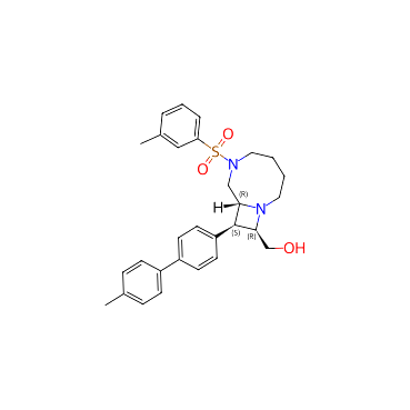 Cc1ccc(-c2ccc([C@@H]3[C@H](CO)N4CCCCN(S(=O)(=O)c5cccc(C)c5)C[C@@H]34)cc2)cc1